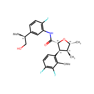 CN[C@H](CO)c1ccc(F)c(NC(=O)[C@@H]2O[C@H](C)[C@@H](C)[C@H]2c2ccc(F)c(F)c2OC)c1